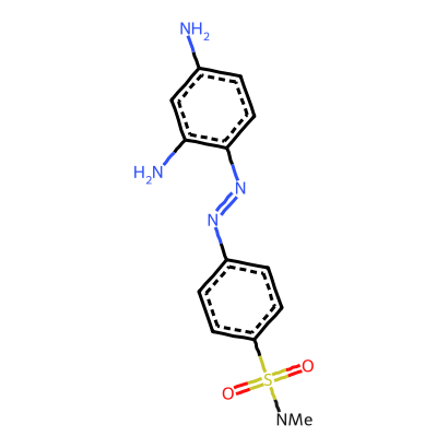 CNS(=O)(=O)c1ccc(N=Nc2ccc(N)cc2N)cc1